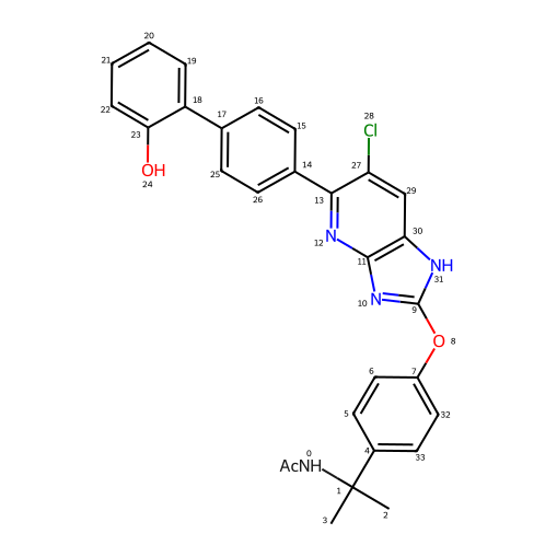 CC(=O)NC(C)(C)c1ccc(Oc2nc3nc(-c4ccc(-c5ccccc5O)cc4)c(Cl)cc3[nH]2)cc1